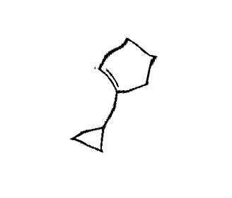 [C]1=C(C2CC2)CCC1